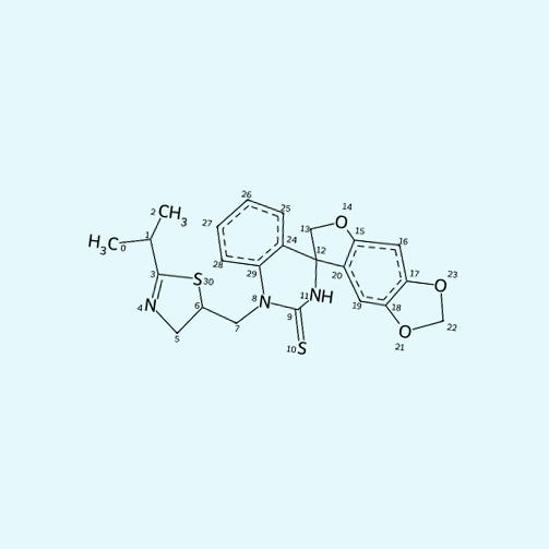 CC(C)C1=NCC(CN2C(=S)NC3(COc4cc5c(cc43)OCO5)c3ccccc32)S1